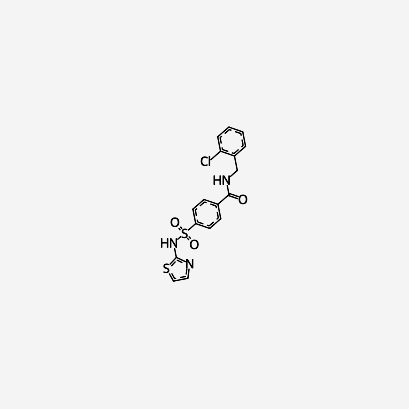 O=C(NCc1ccccc1Cl)c1ccc(S(=O)(=O)Nc2nccs2)cc1